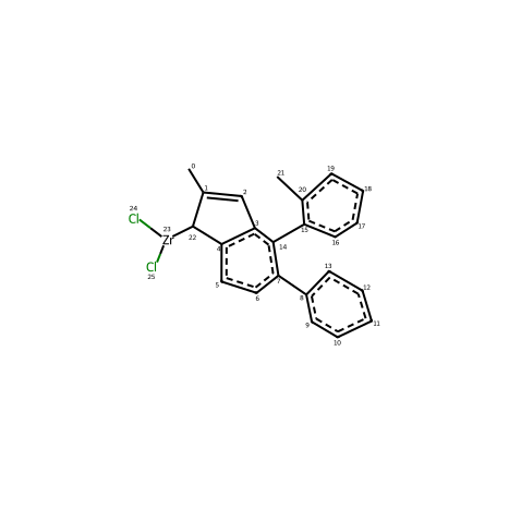 CC1=Cc2c(ccc(-c3ccccc3)c2-c2ccccc2C)[CH]1[Zr]([Cl])[Cl]